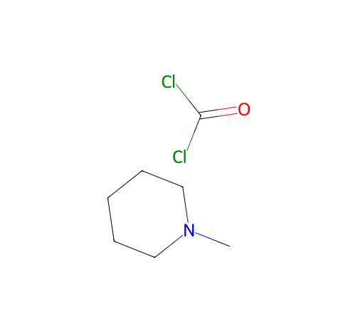 CN1CCCCC1.O=C(Cl)Cl